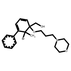 CC1(Br)C(c2ccccc2)=CC=CC1(CO)OCCCN1CCOCC1